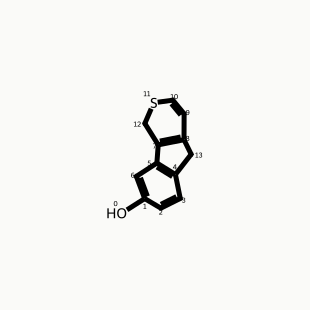 Oc1ccc2c(c1)C1=C(C=CSC1)C2